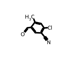 Cc1cc(Cl)c(C#N)cc1C=O